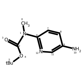 CN(C(=O)OC(C)(C)C)c1ccc(N)cn1